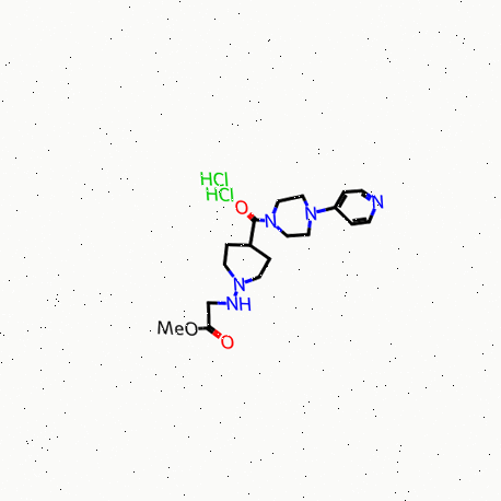 COC(=O)CNN1CCC(C(=O)N2CCN(c3ccncc3)CC2)CC1.Cl.Cl